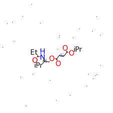 CCC(=O)N[C@@H](COC(=O)/C=C/C(=O)OC(C)C)C(C)C